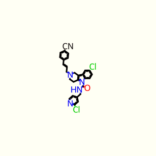 N#Cc1ccc(C=CCN2CCc3c(c4cc(Cl)ccc4n3C(=O)NCc3ccnc(Cl)c3)C2)cc1